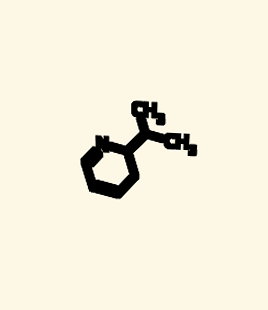 CC(C)C1CC=CC=N1